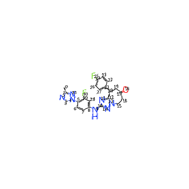 Cc1ncn(-c2ccc(Nc3nc4n(n3)CCC(=O)CC4c3ccc(F)cc3)cc2F)n1